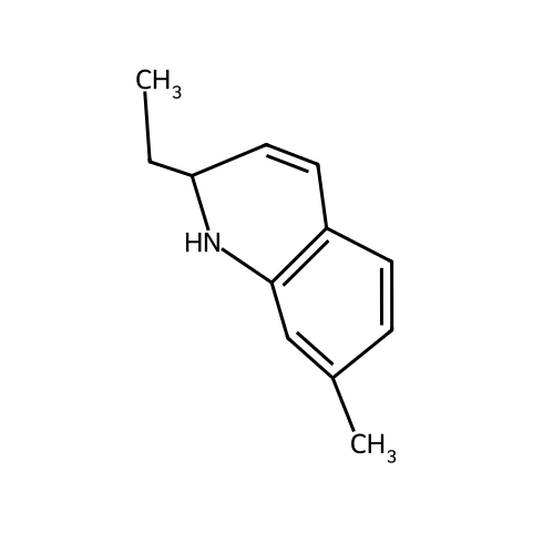 CCC1C=Cc2ccc(C)cc2N1